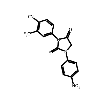 [C-]#[N+]c1ccc(N2C(=O)CN(c3ccc([N+](=O)[O-])cc3)C2=S)cc1C(F)(F)F